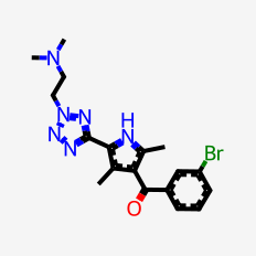 Cc1[nH]c(-c2nnn(CCN(C)C)n2)c(C)c1C(=O)c1cccc(Br)c1